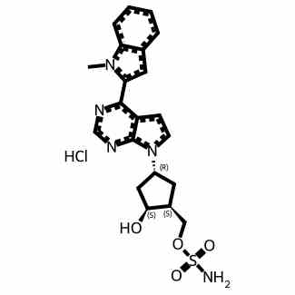 Cl.Cn1c(-c2ncnc3c2ccn3[C@@H]2C[C@@H](COS(N)(=O)=O)[C@@H](O)C2)cc2ccccc21